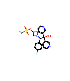 CS(=O)(=O)OC1CN(C(c2ccc(F)cc2)C(O)(c2cccnc2)c2cccnc2)C1